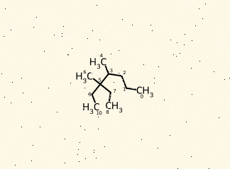 CCC[C](C)C(C)(CC)CC